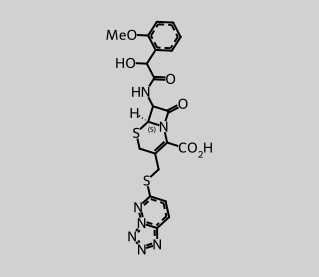 COc1ccccc1C(O)C(=O)NC1C(=O)N2C(C(=O)O)=C(CSc3ccc4nnnn4n3)CS[C@@H]12